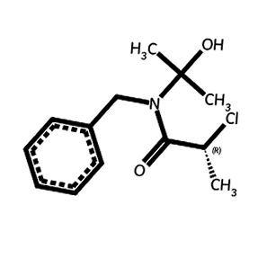 C[C@@H](Cl)C(=O)N(Cc1ccccc1)C(C)(C)O